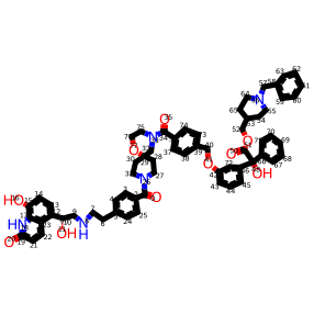 O=C(c1ccc(CCNC[C@H](O)c2ccc(O)c3[nH]c(=O)ccc23)cc1)N1CCC2(CC1)CN(C(=O)c1ccc(COc3cccc(C(O)(C(=O)OCC4CCN(Cc5ccccc5)CC4)c4ccccc4)c3)cc1)CCO2